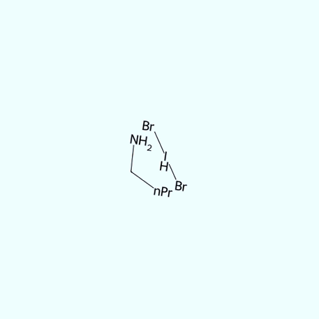 Br[IH]Br.CCCCN